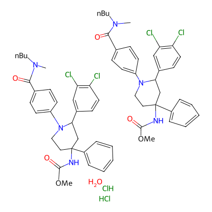 CCCCN(C)C(=O)c1ccc(N2CCC(NC(=O)OC)(c3ccccc3)CC2c2ccc(Cl)c(Cl)c2)cc1.CCCCN(C)C(=O)c1ccc(N2CCC(NC(=O)OC)(c3ccccc3)CC2c2ccc(Cl)c(Cl)c2)cc1.Cl.Cl.O